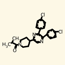 CC(C)C(=O)N1CCC(c2cnc(-c3ccc(Cl)cc3)c(-c3ccc(Cl)cc3)n2)CC1